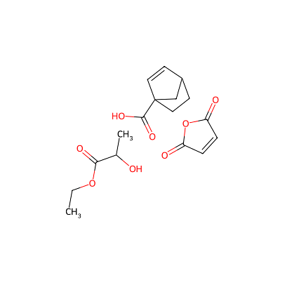 CCOC(=O)C(C)O.O=C(O)C12C=CC(CC1)C2.O=C1C=CC(=O)O1